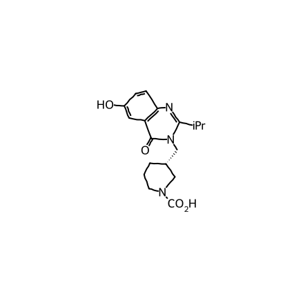 CC(C)c1nc2ccc(O)cc2c(=O)n1C[C@H]1CCCN(C(=O)O)C1